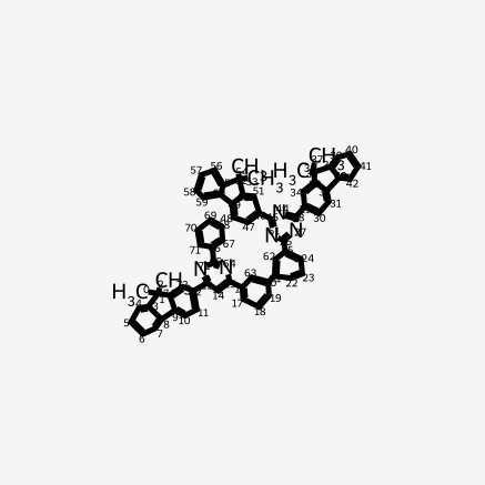 CC1(C)c2ccccc2-c2ccc(-c3cc(-c4cccc(-c5cccc(-c6nc(-c7ccc8c(c7)C(C)(C)c7ccccc7-8)nc(-c7ccc8c(c7)C(C)(C)c7ccccc7-8)n6)c5)c4)nc(-c4ccccc4)n3)cc21